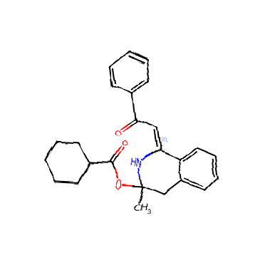 CC1(OC(=O)C2CCCCC2)Cc2ccccc2/C(=C/C(=O)c2ccccc2)N1